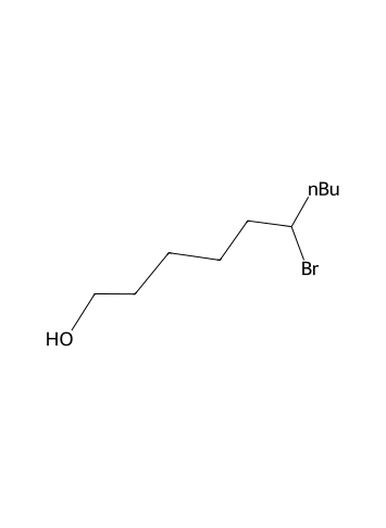 CCCCC(Br)CCCCCO